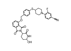 N#Cc1ccc(N2CCC(Sc3ccc(COc4cccc5c4C(=O)N(C4CCC(O)NC4=O)C5=O)cc3)CC2)c(F)c1